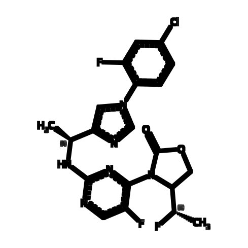 C[C@H](Nc1ncc(F)c(N2C(=O)OCC2[C@H](C)F)n1)c1cn(-c2ccc(Cl)cc2F)cn1